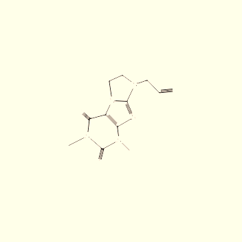 C=CCN1CCn2c1nc1c2c(=O)n(C)c(=O)n1C